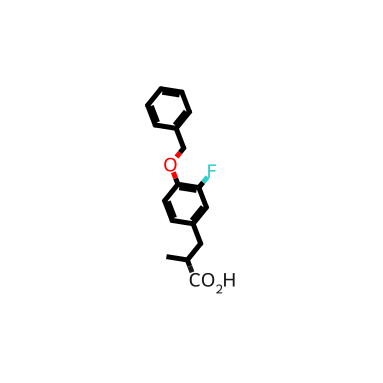 CC(Cc1ccc(OCc2ccccc2)c(F)c1)C(=O)O